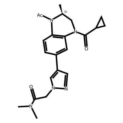 CC(=O)N1c2ccc(-c3cnn(CC(=O)N(C)C)c3)cc2N(C(=O)C2CC2)C[C@@H]1C